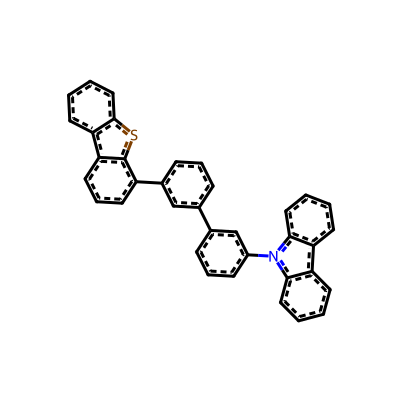 c1cc(-c2cccc(-n3c4ccccc4c4ccccc43)c2)cc(-c2cccc3c2sc2ccccc23)c1